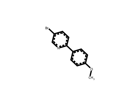 COc1ccc(-c2ccc(Br)cn2)cc1